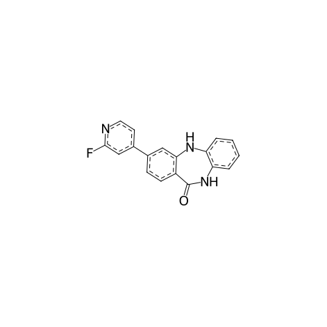 O=C1Nc2ccccc2Nc2cc(-c3ccnc(F)c3)ccc21